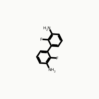 Nc1cccc(-c2cccc(N)c2F)c1F